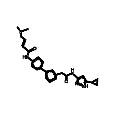 CN(C)C/C=C/C(=O)Nc1ccc(-c2cccc(CC(=O)Nc3cc(C4CC4)[nH]n3)c2)cc1